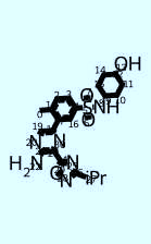 Cc1ccc(S(=O)(=O)N[C@H]2CC[C@H](O)CC2)cc1-c1cnc(N)c(-c2nc(C(C)C)no2)n1